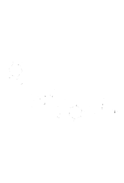 CC(C)OC(=O)CCc1ccc(C#N)c(OC[C@H](O)C[N+](C)(C)CCC2Cc3ccccc3C2)c1